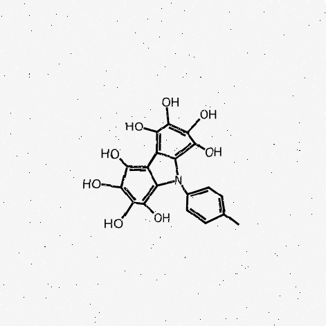 Cc1ccc(-n2c3c(O)c(O)c(O)c(O)c3c3c(O)c(O)c(O)c(O)c32)cc1